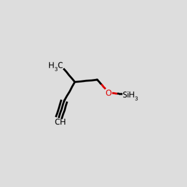 C#CC(C)CO[SiH3]